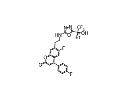 CC[C@@](O)(c1nnc(NCCc2cc3oc(=O)cc(-c4ccc(F)cc4)c3cc2F)o1)C(F)(F)F